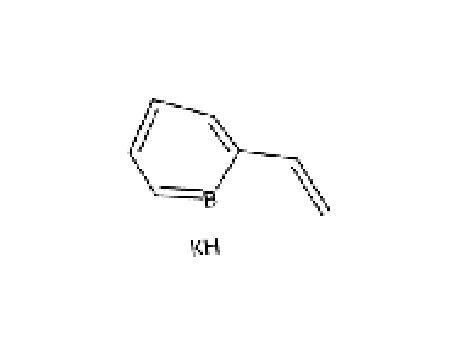 C=Cc1bcccc1.[KH]